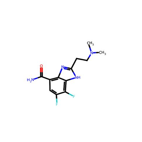 CN(C)CCc1nc2c(C(N)=O)cc(F)c(F)c2[nH]1